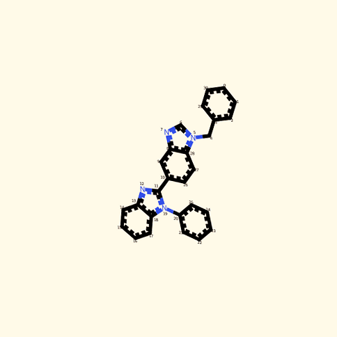 c1ccc(Cn2cnc3cc(-c4nc5ccccc5n4-c4ccccc4)ccc32)cc1